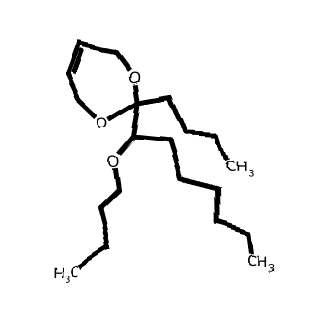 CCCCCCC(OCCCC)C1(CCCC)OCC=CCO1